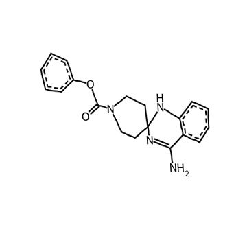 NC1=NC2(CCN(C(=O)Oc3ccccc3)CC2)Nc2ccccc21